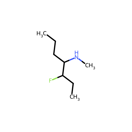 CCCC(NC)C(F)CC